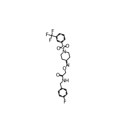 O=C(CON=C1CCN(S(=O)(=O)c2cccc(C(F)(F)F)c2)CC1)NCc1ccc(F)cc1